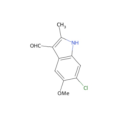 COc1cc2c(C=O)c(C)[nH]c2cc1Cl